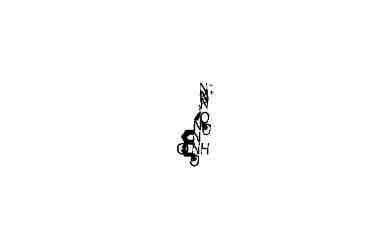 [N-]=[N+]=NC[C@H]1CN(c2ccc3c(n2)NC(=O)CO3)C(=O)O1